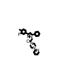 Cc1ccc(-c2cc(-c3ccccc3)n(CC(=O)N3CCN(c4ccccn4)CC3)n2)cc1F